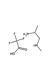 CNCC(C)N.O=C(O)C(F)(F)F